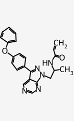 C=CC(=O)NC(C)Cn1nc(-c2ccc(Oc3ccccc3)cc2)c2cncnc21